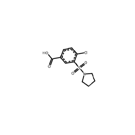 O=C(O)c1ccc(Cl)c(S(=O)(=O)N2CCCC2)c1